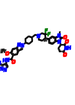 CC(C)Oc1cc2nn(C3CCC(CN4CC[C@H](c5ccc6c(c5)n(C)c(=O)n6C5CCC(=O)NC5=O)C(F)(F)C4)CC3)cc2cc1C(=O)Nc1cnn2cccnc12